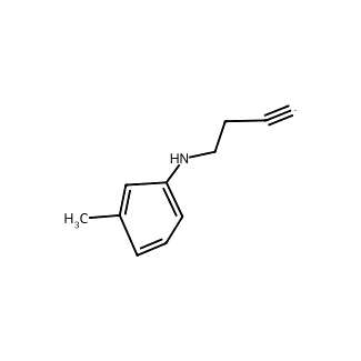 [C]#CCCNc1cccc(C)c1